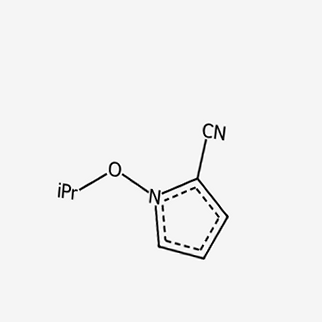 CC(C)On1cccc1C#N